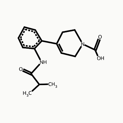 CC(C)C(=O)Nc1ccccc1C1=CCN(C(=O)O)CC1